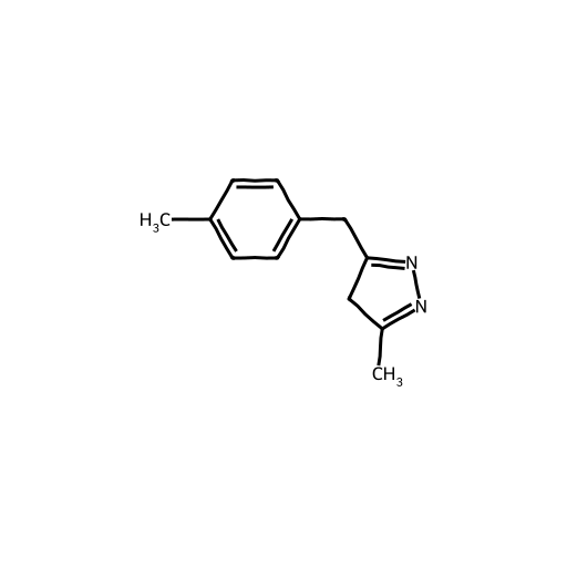 CC1=NN=C(Cc2ccc(C)cc2)C1